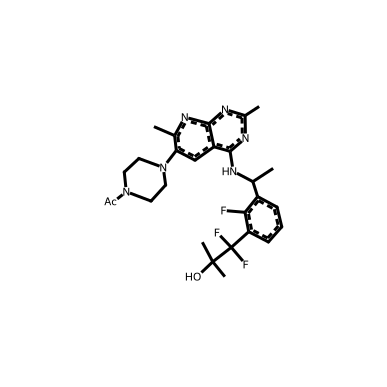 CC(=O)N1CCN(c2cc3c(NC(C)c4cccc(C(F)(F)C(C)(C)O)c4F)nc(C)nc3nc2C)CC1